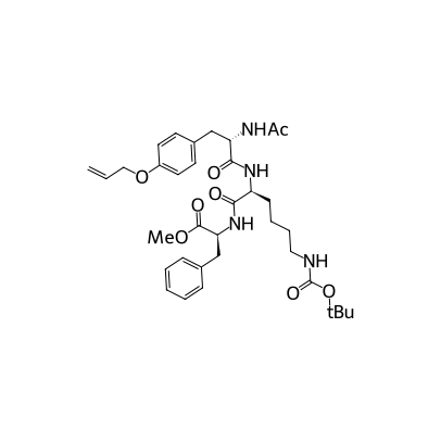 C=CCOc1ccc(C[C@H](NC(C)=O)C(=O)N[C@@H](CCCCNC(=O)OC(C)(C)C)C(=O)N[C@@H](Cc2ccccc2)C(=O)OC)cc1